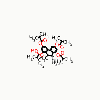 C=C(C)C(=O)Oc1cc(OC(=O)C(=C)C)c2c(c1)-c1cc(OC(=O)C(=C)C)cc(OC(O)C(C)C)c1C(C)C2C